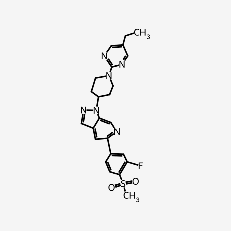 CCc1cnc(N2CCC(n3ncc4cc(-c5ccc(S(C)(=O)=O)c(F)c5)ncc43)CC2)nc1